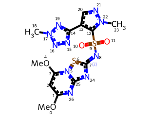 COc1cc(OC)n2s/c(=N\S(=O)(=O)c3c(-c4nnn(C)n4)cnn3C)nc2n1